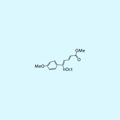 CCCCCCCCC(=CC=CC(=O)OC)c1ccc(OC)cc1